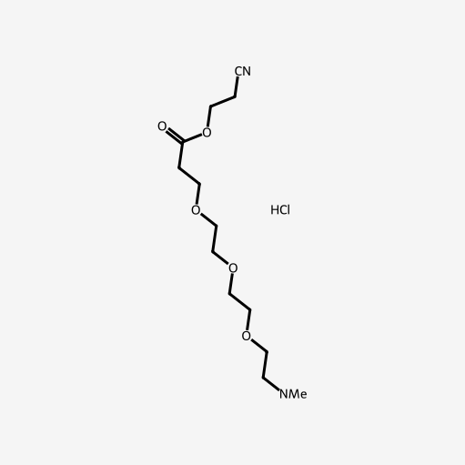 CNCCOCCOCCOCCC(=O)OCCC#N.Cl